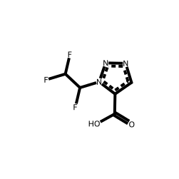 O=C(O)c1cnnn1C(F)C(F)F